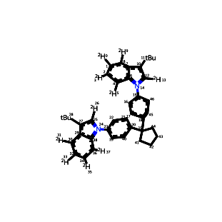 [2H]c1c([2H])c([2H])c2c(c1[2H])c(C(C)(C)C)c([2H])n2-c1ccc(C2(c3ccc(-n4c([2H])c(C(C)(C)C)c5c([2H])c([2H])c([2H])c([2H])c54)cc3)CCCC2)cc1